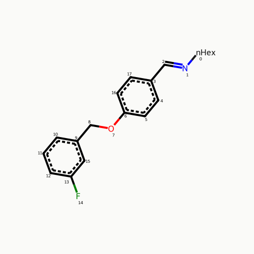 CCCCCC/N=C/c1ccc(OCc2cccc(F)c2)cc1